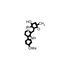 COc1ccc2c3c([nH]c2c1)C(CC1C(=O)C(C)=CC(O)=C1C(C)C)=NCC3